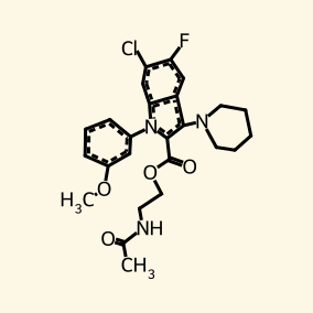 COc1cccc(-n2c(C(=O)OCCNC(C)=O)c(N3CCCCC3)c3cc(F)c(Cl)cc32)c1